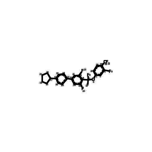 Fc1cc(OC(F)(F)c2c(F)cc(-c3ccc(C4CCCC4)cc3)cc2F)ccc1C(F)(F)F